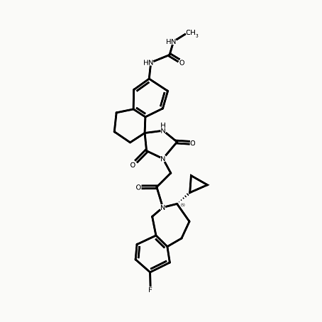 CNC(=O)Nc1ccc2c(c1)CCCC21NC(=O)N(CC(=O)N2Cc3ccc(F)cc3CC[C@H]2C2CC2)C1=O